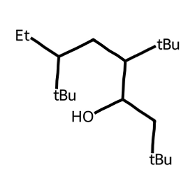 CCC(CC(C(O)CC(C)(C)C)C(C)(C)C)C(C)(C)C